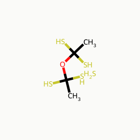 CC(S)(S)OC(C)(S)S.S